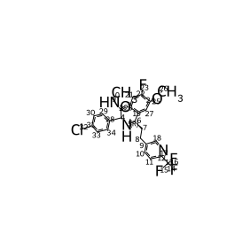 CNC(=O)C(N[C@H](CCc1ccc(C(F)(F)F)nc1)c1ccc(F)c(OC)c1)c1ccc(Cl)cc1